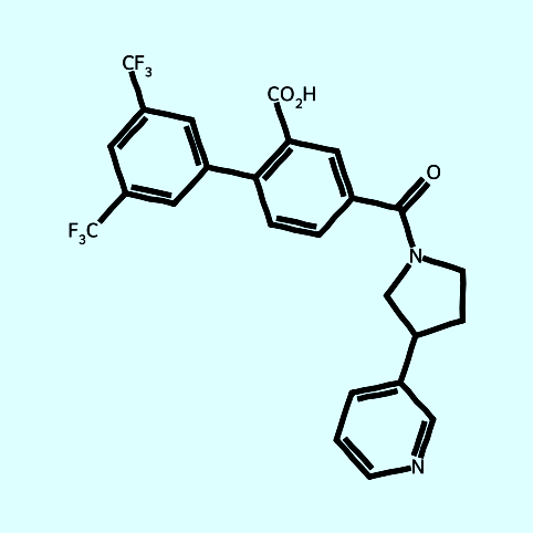 O=C(O)c1cc(C(=O)N2CCC(c3cccnc3)C2)ccc1-c1cc(C(F)(F)F)cc(C(F)(F)F)c1